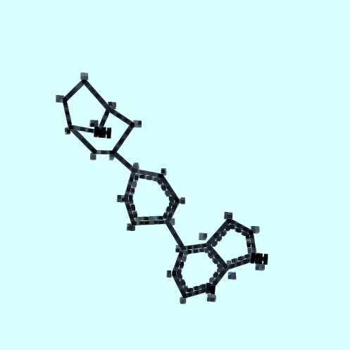 c1cc(-c2ccc(C3CC4CCC(C3)N4)cc2)c2cc[nH]c2n1